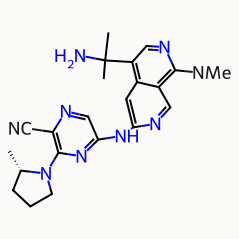 CNc1ncc(C(C)(C)N)c2cc(Nc3cnc(C#N)c(N4CCC[C@@H]4C)n3)ncc12